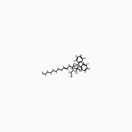 CCCCCCCC/C=C/CC(CCI)O[Si](c1ccccc1)(c1ccccc1)C(C)(C)C